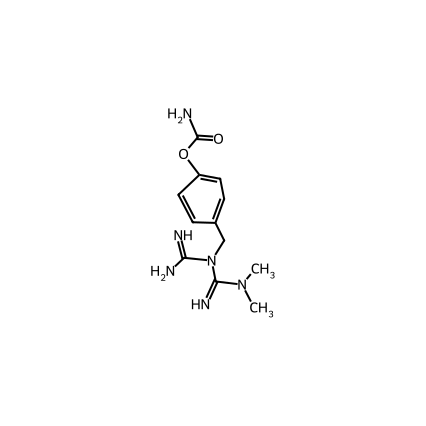 CN(C)C(=N)N(Cc1ccc(OC(N)=O)cc1)C(=N)N